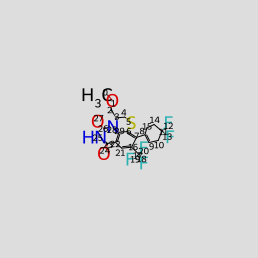 COC[C@H]1CSc2c(C3=CCC(F)(F)CC3)c(C(F)(F)F)cc3c(=O)[nH]c(=O)n1c23